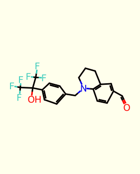 O=Cc1ccc2c(c1)CCCN2Cc1ccc(C(O)(C(F)(F)F)C(F)(F)F)cc1